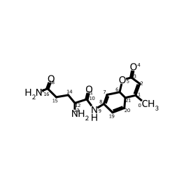 CC1=CC(=O)OC2C=C(NC(=O)C(N)CCC(N)=O)C=CC12